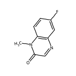 Cn1c(=O)cnc2cc(F)ccc21